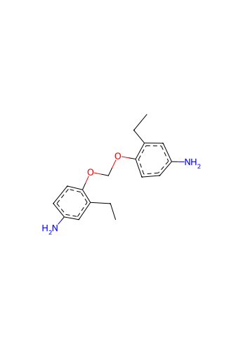 CCc1cc(N)ccc1OCOc1ccc(N)cc1CC